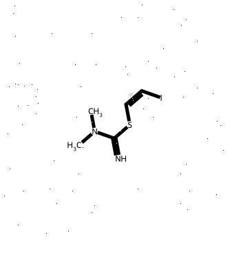 CN(C)C(=N)S/C=C\I